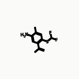 C=C(C)c1cc(N)c(C)cc1SC(F)F